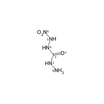 NNC(=O)NN[N+](=O)[O-]